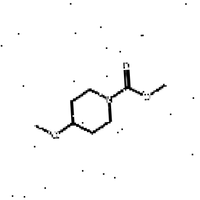 COC(=O)N1CCC(OC)CC1